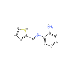 Nc1ccccc1N=Cc1cccs1